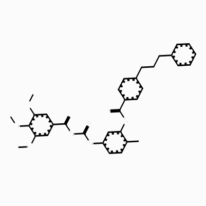 COc1cc(C(=O)NC(=N)Nc2ccc(C)c(NC(=O)c3ccc(CCCc4ccccc4)cc3)c2)cc(OC)c1OC.Cl